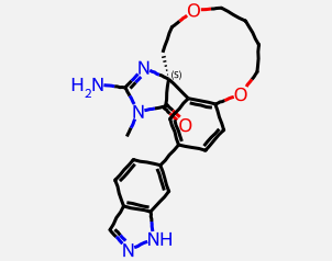 CN1C(=O)[C@@]2(CCOCCCCOc3ccc(-c4ccc5cn[nH]c5c4)cc32)N=C1N